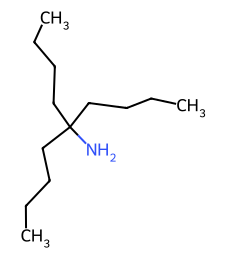 CCCCC(N)(CCCC)CCCC